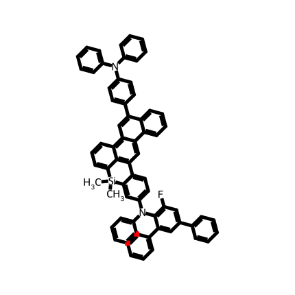 C[Si]1(C)c2cc(N(c3ccccc3)c3c(F)cc(-c4ccccc4)cc3-c3ccccc3)ccc2-c2cc3c4ccccc4c(-c4ccc(N(c5ccccc5)c5ccccc5)cc4)cc3c3cccc1c23